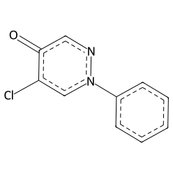 O=c1cnn(-c2ccccc2)cc1Cl